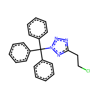 ClCCc1nnn(C(c2ccccc2)(c2ccccc2)c2ccccc2)n1